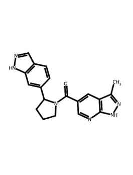 Cc1n[nH]c2ncc(C(=O)N3CCCC3c3ccc4cn[nH]c4c3)cc12